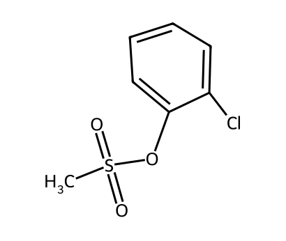 CS(=O)(=O)Oc1ccccc1Cl